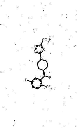 O=C(O)c1nnc(N2CCC(=C(F)c3cc(F)ccc3C(F)(F)F)CC2)s1